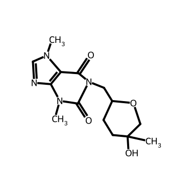 Cn1cnc2c1c(=O)n(CC1CCC(C)(O)CO1)c(=O)n2C